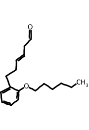 CCCCCCOc1ccccc1CCC=CCC=O